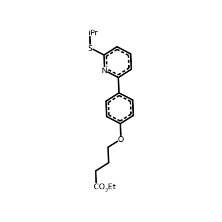 CCOC(=O)CCCOc1ccc(-c2cccc(SC(C)C)n2)cc1